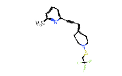 Cc1cccc(C#CC=C2CCN(SCC(F)(F)F)CC2)n1